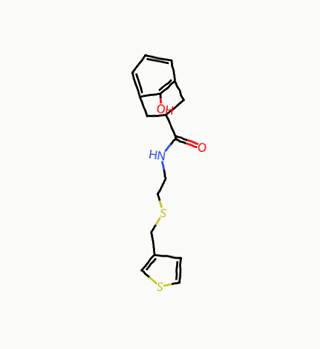 O=C(NCCSCc1ccsc1)C1Cc2cccc(c2O)C1